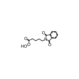 O=C(CCCCN1C(=O)c2ccccc2C1=O)OO